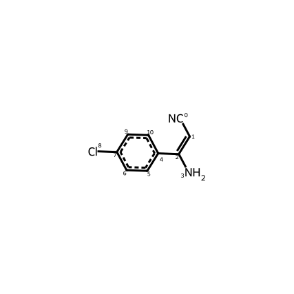 N#C/C=C(/N)c1ccc(Cl)cc1